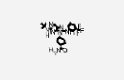 CC(C)(C)Nc1ncc2nc(Nc3cccc(C(F)(F)F)c3)n([C@H]3CC[C@H](C(N)=O)CC3)c2n1